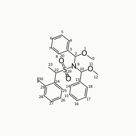 COC(c1ccccc1)N(C(OC)c1ccccc1)S(=O)(=O)C(C)c1ccccc1I